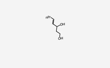 CCCC=CC(O)CCO